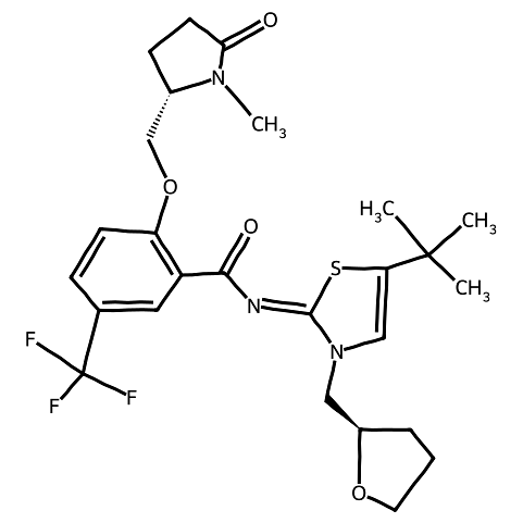 CN1C(=O)CC[C@H]1COc1ccc(C(F)(F)F)cc1C(=O)N=c1sc(C(C)(C)C)cn1C[C@H]1CCCO1